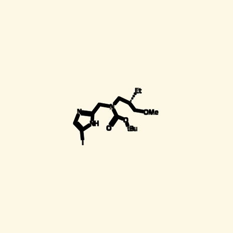 CC[C@H](COC)CN(Cc1ncc(I)[nH]1)C(=O)OC(C)(C)C